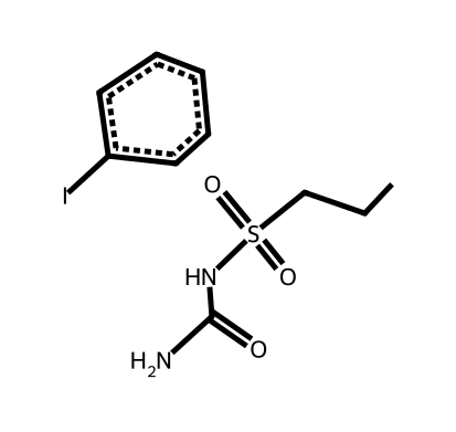 CCCS(=O)(=O)NC(N)=O.Ic1ccccc1